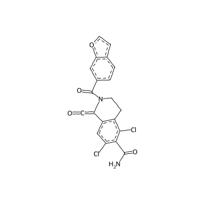 NC(=O)c1c(Cl)cc2c(c1Cl)CCN(C(=O)c1ccc3ccoc3c1)C2=C=O